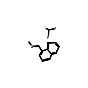 CSCc1cccc2ccccc12.FC(F)F